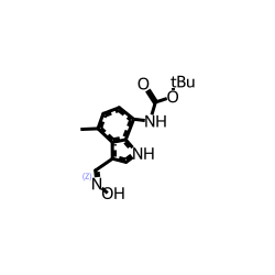 Cc1ccc(NC(=O)OC(C)(C)C)c2[nH]cc(/C=N\O)c12